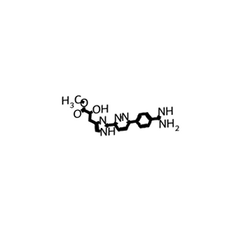 COC(=O)C(O)Cc1c[nH]c(-c2ccc(-c3ccc(C(=N)N)cc3)nn2)n1